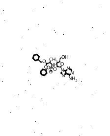 CC(NP(=O)(Oc1ccccc1)O[C@@H]1C[C@@H](CO)O[C@H]1n1cnc2c(N)ncnc21)C(=O)OCc1ccccc1